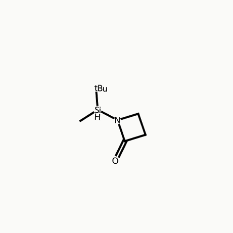 C[SiH](N1CCC1=O)C(C)(C)C